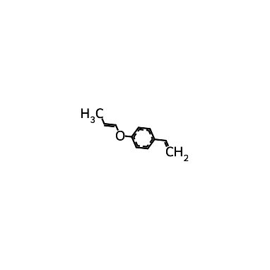 C=Cc1ccc(OC=CC)cc1